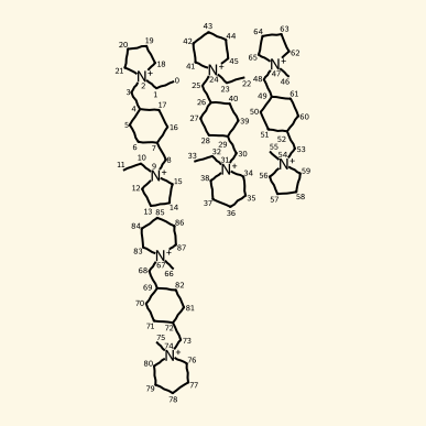 CC[N+]1(CC2CCC(C[N+]3(CC)CCCC3)CC2)CCCC1.CC[N+]1(CC2CCC(C[N+]3(CC)CCCCC3)CC2)CCCCC1.C[N+]1(CC2CCC(C[N+]3(C)CCCC3)CC2)CCCC1.C[N+]1(CC2CCC(C[N+]3(C)CCCCC3)CC2)CCCCC1